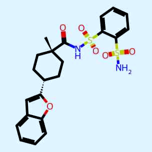 C[C@]1(C(=O)NS(=O)(=O)c2ccccc2S(N)(=O)=O)CC[C@@H](c2cc3ccccc3o2)CC1